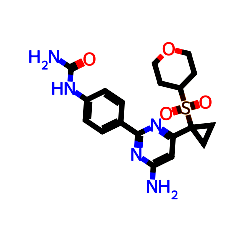 NC(=O)Nc1ccc(-c2nc(N)cc(C3(S(=O)(=O)C4CCOCC4)CC3)n2)cc1